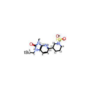 Cn1c(=O)n(CC(C)(C)C)c2ccc(C3CCCN([SH](=O)=O)C3)nc21